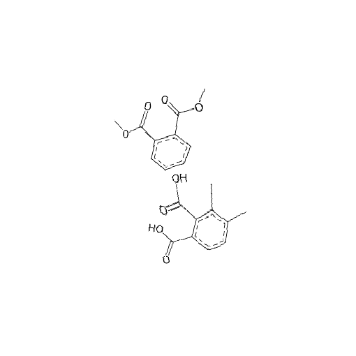 COC(=O)c1ccccc1C(=O)OC.Cc1ccc(C(=O)O)c(C(=O)O)c1C